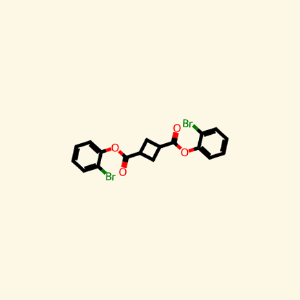 O=C(Oc1ccccc1Br)C1CC(C(=O)Oc2ccccc2Br)C1